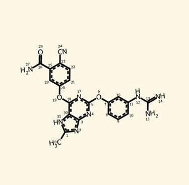 Cc1nc2nc(Oc3cccc(NC(=N)N)c3)nc(Oc3ccc(C#N)c(C(N)=O)c3)c2[nH]1